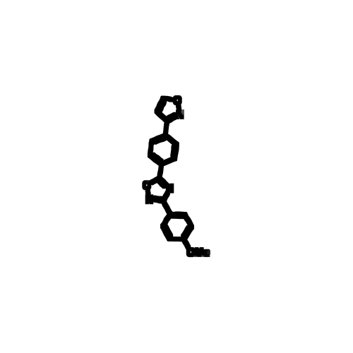 COc1ccc(-c2noc(-c3ccc(-c4ccon4)cc3)n2)cc1